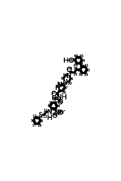 O=C(NS(=O)(=O)c1ccc(NCCSc2ccccc2)c([N+](=O)[O-])c1)c1ccc(N2CCN(C(=O)CCc3ccccc3-c3cccc(O)c3)CC2)nn1